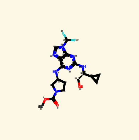 CC(C)(C)OC(=O)N1CC[C@H](Nc2nc(N[C@@H](CO)C3CC3)nc3c2ncn3C(F)F)C1